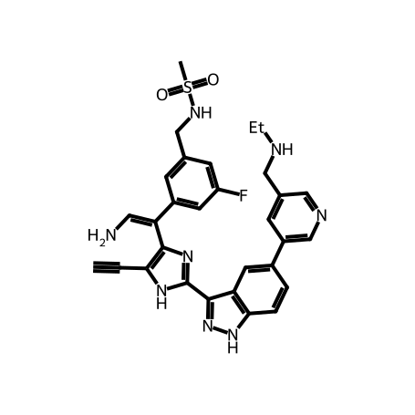 C#Cc1[nH]c(-c2n[nH]c3ccc(-c4cncc(CNCC)c4)cc23)nc1/C(=C\N)c1cc(F)cc(CNS(C)(=O)=O)c1